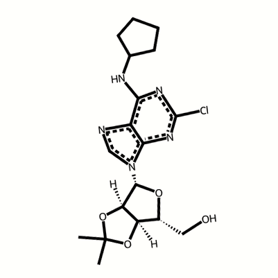 CC1(C)O[C@@H]2[C@H](O1)[C@@H](CO)O[C@H]2n1cnc2c(NC3CCCC3)nc(Cl)nc21